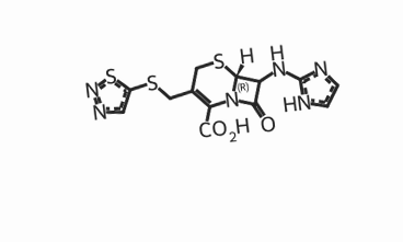 O=C(O)C1=C(CSc2cnns2)CS[C@@H]2C(Nc3ncc[nH]3)C(=O)N12